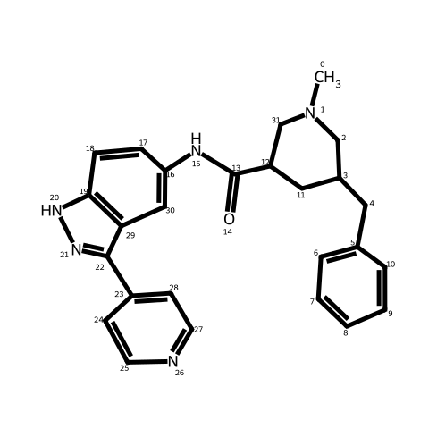 CN1CC(Cc2ccccc2)CC(C(=O)Nc2ccc3[nH]nc(-c4ccncc4)c3c2)C1